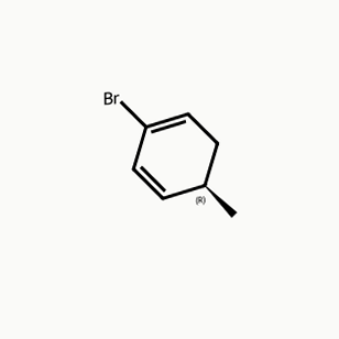 C[C@H]1C=CC(Br)=CC1